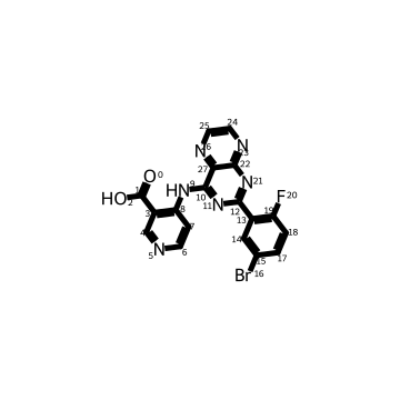 O=C(O)c1cnccc1Nc1nc(-c2cc(Br)ccc2F)nc2nccnc12